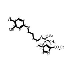 CCOC(=O)c1cn(C[C@H](CCCSc2ccc(Cl)c(Cl)c2)O[Si](C)(C)C(C)(C)C)cn1